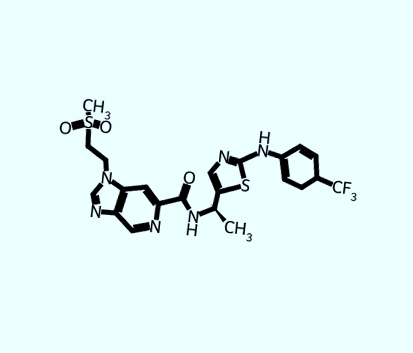 C[C@@H](NC(=O)c1cc2c(cn1)ncn2CCS(C)(=O)=O)c1cnc(NC2=CCC(C(F)(F)F)C=C2)s1